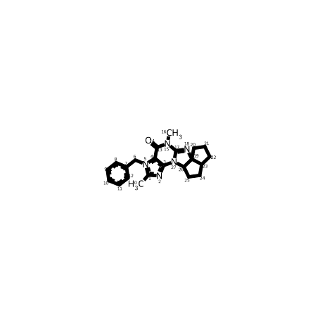 Cc1nc2c(n1Cc1ccccc1)C(=O)N(C)C1=NC34CCCC3CCC4N12